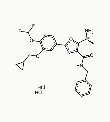 C[C@H](N)c1oc(-c2ccc(OC(F)F)c(OCC3CC3)c2)nc1C(=O)NCc1ccncc1.Cl.Cl